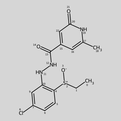 CC[S+]([O-])c1ccc(Cl)cc1NNC(=O)c1cc(C)[nH]c(=O)c1